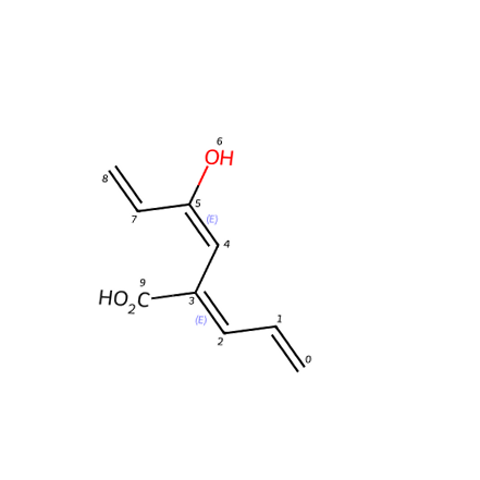 C=C/C=C(\C=C(\O)C=C)C(=O)O